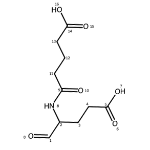 O=CC(CCC(=O)O)NC(=O)CCCC(=O)O